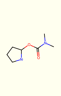 CN(C)C(=O)OC1CCC[N]1